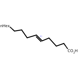 CCCCCCCCC/C=C/CCCC(=O)O